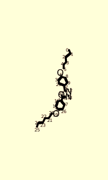 CC=CCCCOc1ccc(-c2nnc(-c3ccc(OCCCC=CC)cc3)o2)cc1